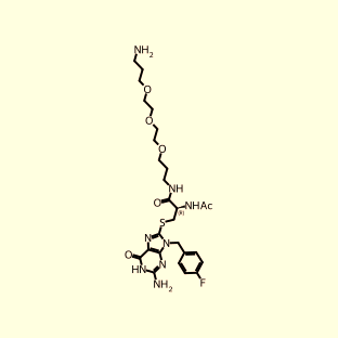 CC(=O)N[C@@H](CSc1nc2c(=O)[nH]c(N)nc2n1Cc1ccc(F)cc1)C(=O)NCCCOCCOCCOCCCN